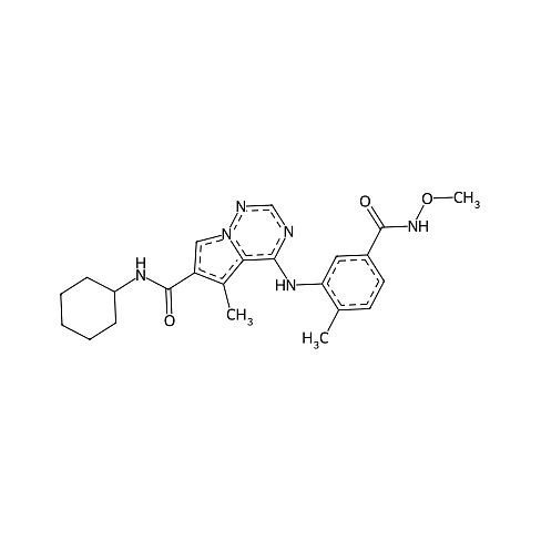 CONC(=O)c1ccc(C)c(Nc2ncnn3cc(C(=O)NC4CCCCC4)c(C)c23)c1